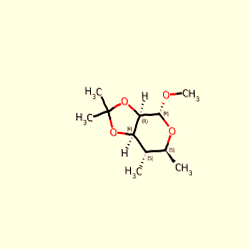 CO[C@@H]1O[C@@H](C)[C@H](C)[C@H]2OC(C)(C)O[C@@H]12